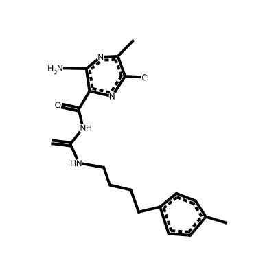 C=C(NCCCCc1ccc(C)cc1)NC(=O)c1nc(Cl)c(C)nc1N